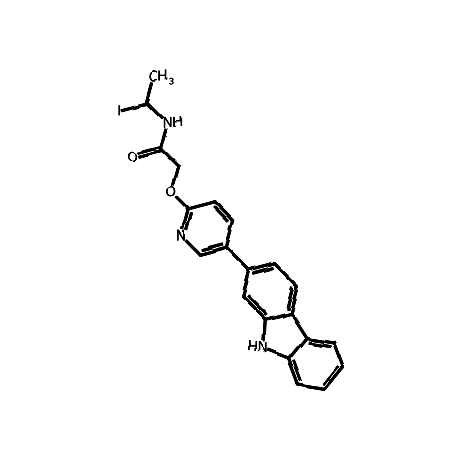 CC(I)NC(=O)COc1ccc(-c2ccc3c(c2)[nH]c2ccccc23)cn1